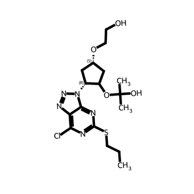 CCCSc1nc(Cl)c2nnn([C@@H]3C[C@H](OCCO)CC3OC(C)(C)O)c2n1